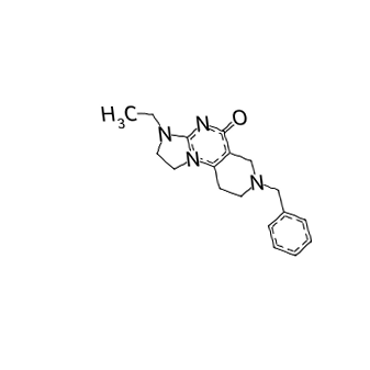 CCN1CCn2c1nc(=O)c1c2CCN(Cc2ccccc2)C1